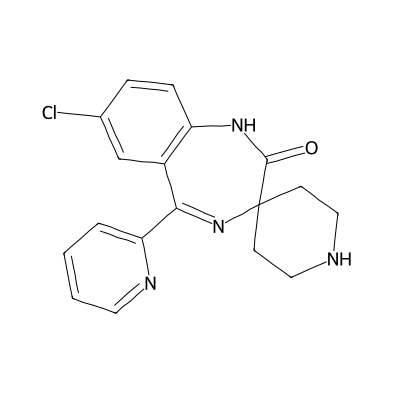 O=C1Nc2ccc(Cl)cc2C(c2ccccn2)=NC12CCNCC2